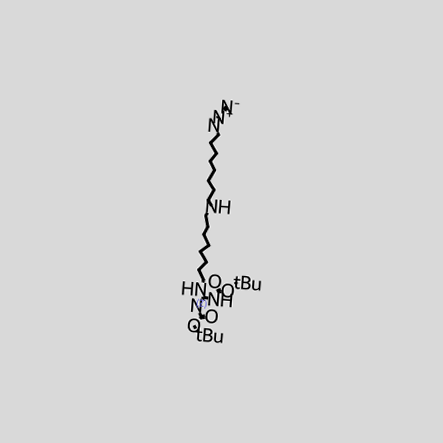 CC(C)(C)OC(=O)/N=C(/NCCCCCCCCNCCCCCCCCN=[N+]=[N-])NC(=O)OC(C)(C)C